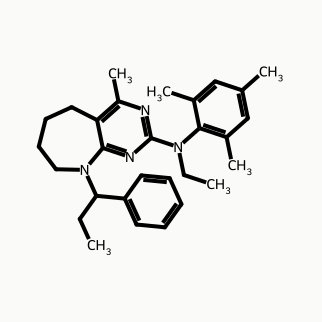 CCC(c1ccccc1)N1CCCCc2c(C)nc(N(CC)c3c(C)cc(C)cc3C)nc21